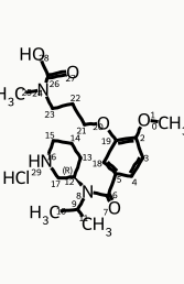 COc1ccc(C(=O)N(C(C)C)[C@@H]2CCCNC2)cc1OCCCN(C)C(=O)O.Cl